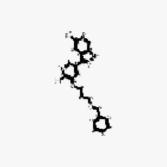 [2H]c1ncc(-c2n[nH]c3cnc(Br)cc23)cc1OCCCOCc1ccccc1